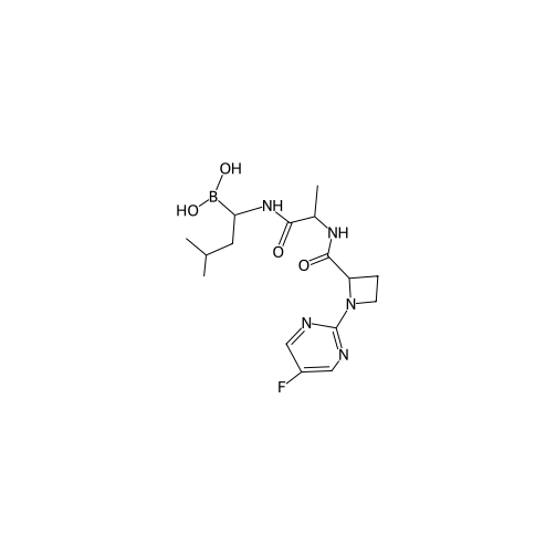 CC(C)CC(NC(=O)C(C)NC(=O)C1CCN1c1ncc(F)cn1)B(O)O